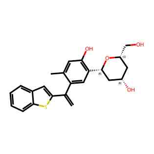 C=C(c1cc2ccccc2s1)c1cc([C@H]2C[C@@H](O)C[C@@H](CO)O2)c(O)cc1C